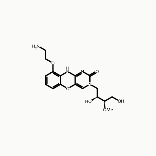 CO[C@H](CO)[C@@H](O)Cn1cc2c(nc1=O)Nc1c(OCCN)cccc1O2